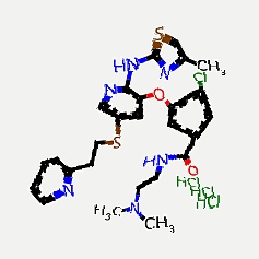 Cc1csc(Nc2ncc(SCCc3ccccn3)cc2Oc2cc(C(=O)NCCN(C)C)ccc2Cl)n1.Cl.Cl.Cl